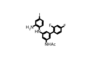 CC(=O)Nc1cc(Nc2ccc(I)cc2N)cc(-c2ccc(F)cc2F)c1